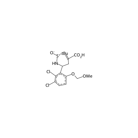 C=C(CC(N[S@@+]([O-])C(C)(C)C)c1c(OCOC)ccc(Cl)c1Cl)C(=O)O